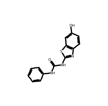 O=C(Nc1ccccc1)Nc1nc2ccc(O)cc2s1